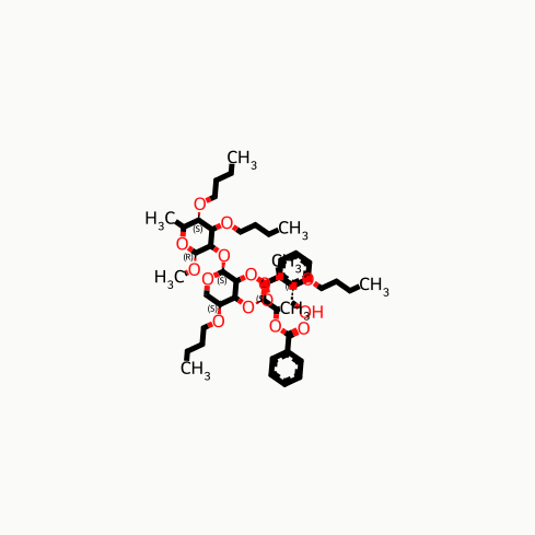 CCCCOC1C(O[C@@H]2OC[C@H](OCCCC)C(O[C@H](OC(C)[C@@H](CO)OCCCC)C(C)OC(=O)c3ccccc3)C2OC(=O)c2ccccc2)[C@H](OC)OC(C)[C@@H]1OCCCC